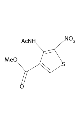 COC(=O)c1csc([N+](=O)[O-])c1NC(C)=O